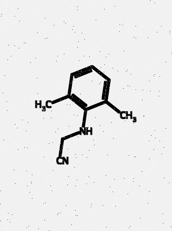 Cc1cccc(C)c1NCC#N